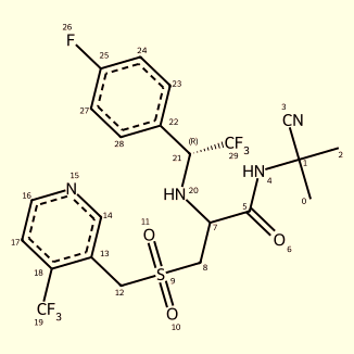 CC(C)(C#N)NC(=O)C(CS(=O)(=O)Cc1cnccc1C(F)(F)F)N[C@H](c1ccc(F)cc1)C(F)(F)F